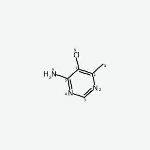 Cc1ncnc(N)c1Cl